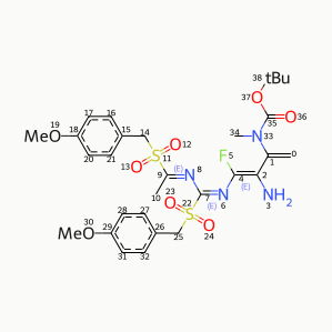 C=C(/C(N)=C(F)/N=C(\N=C(/C)S(=O)(=O)Cc1ccc(OC)cc1)S(=O)(=O)Cc1ccc(OC)cc1)N(C)C(=O)OC(C)(C)C